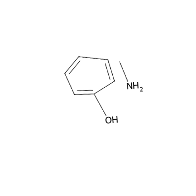 CN.Oc1ccccc1